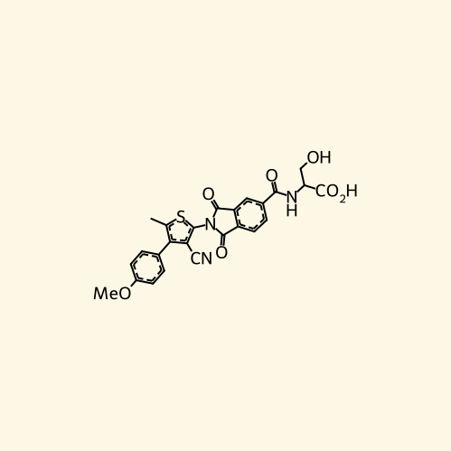 COc1ccc(-c2c(C)sc(N3C(=O)c4ccc(C(=O)NC(CO)C(=O)O)cc4C3=O)c2C#N)cc1